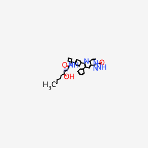 CCCCCC(O)/C=C/C(=O)NC1(c2ccc(-c3nc4ccn5c(=O)[nH]nc5c4cc3-c3ccccc3)cc2)CCC1